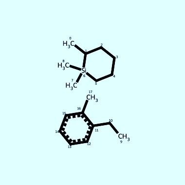 CC1CCCC[Si]1(C)C.CCc1ccccc1C